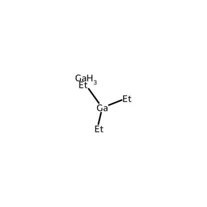 C[CH2][Ga]([CH2]C)[CH2]C.[GaH3]